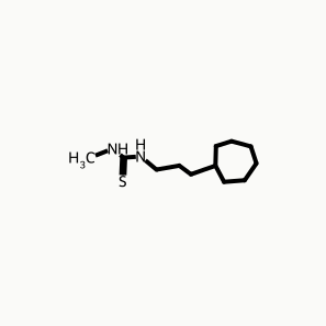 CNC(=S)NCCCC1CCCCCC1